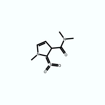 CN(C)C(=O)C1C=CN(C)C1=S(=O)=O